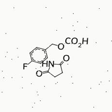 O=C(O)OCc1ccc(F)cc1.O=C1CCC(=O)N1